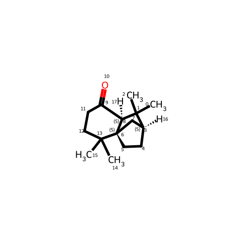 CC1(C)[C@H]2CC[C@]3(C2)[C@H]1C(=O)CCC3(C)C